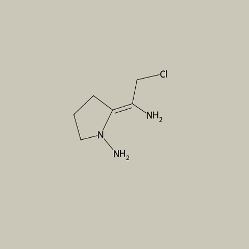 N/C(CCl)=C1/CCCN1N